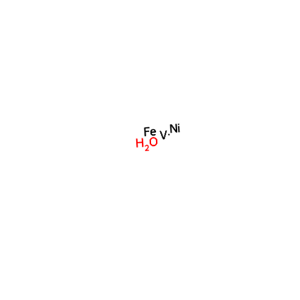 O.[Fe].[Ni].[V]